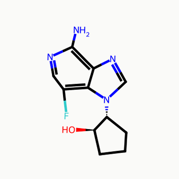 Nc1ncc(F)c2c1ncn2[C@@H]1CCC[C@H]1O